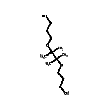 CC(C)(OCCCO)C(C)(C)OCCCO